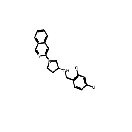 Clc1ccc(CN[C@H]2CCN(c3cc4ccccc4cn3)C2)c(Cl)c1